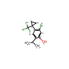 CC(C)c1cc(C2(C(F)(F)F)CC2)c(Br)cc1O